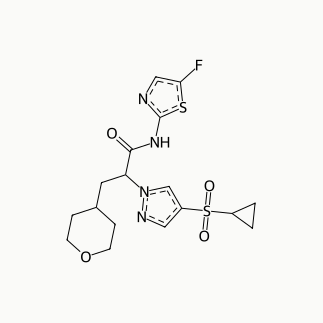 O=C(Nc1ncc(F)s1)C(CC1CCOCC1)n1cc(S(=O)(=O)C2CC2)cn1